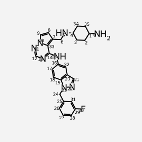 N[C@H]1CC[C@H](NCc2ccn3ncnc(Nc4ccc5c(cnn5Cc5cccc(F)c5)c4)c23)CC1